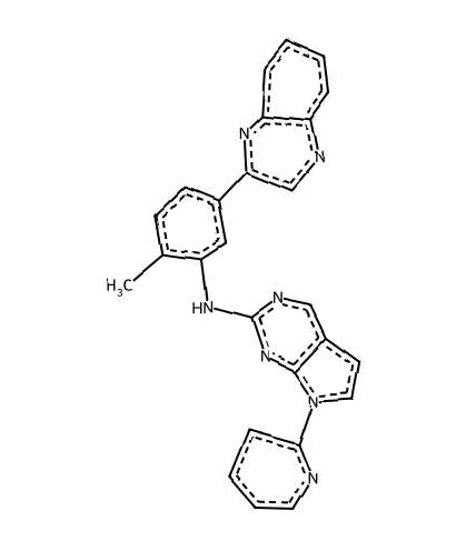 Cc1ccc(-c2cnc3ccccc3n2)cc1Nc1ncc2ccn(-c3ccccn3)c2n1